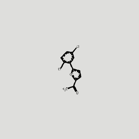 CC(=O)c1ccc(-c2cc(Cl)ccc2Cl)o1